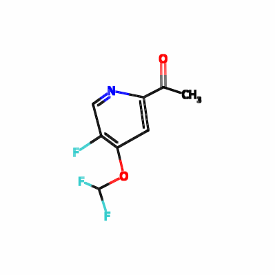 CC(=O)c1cc(OC(F)F)c(F)cn1